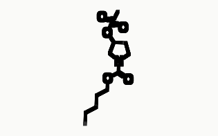 CCCCCOC(=O)N1CCC(OS(C)(=O)=O)C1